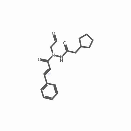 O=[C]CN(NC(=O)CC1CCCC1)C(=O)/C=C/c1ccccc1